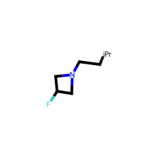 CC(C)CCN1CC(F)C1